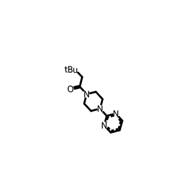 CC(C)(C)CC(=O)N1CCN(c2ncccn2)CC1